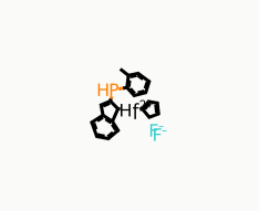 Cc1ccccc1PC1=Cc2ccccc2[CH]1[Hf+2][C]1=CC=CC1.[F-].[F-]